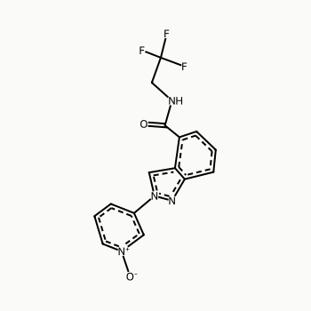 O=C(NCC(F)(F)F)c1cccc2nn(-c3ccc[n+]([O-])c3)cc12